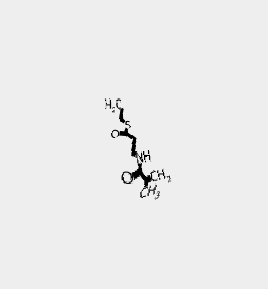 C=CCSC(=O)CCNC(=O)C(=C)C